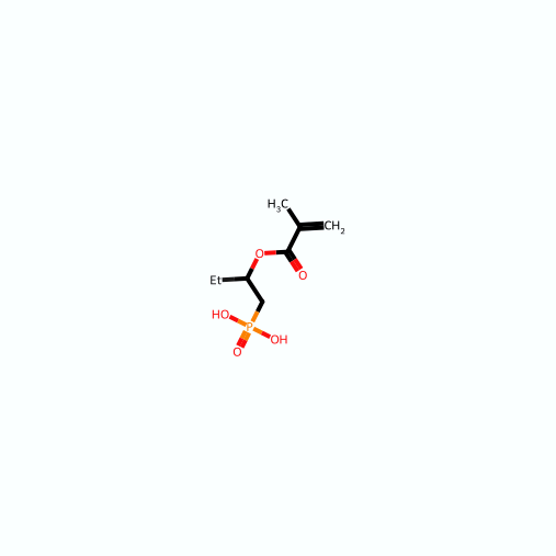 C=C(C)C(=O)OC(CC)CP(=O)(O)O